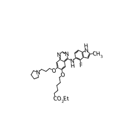 CCOC(=O)CCCCCOc1cc2c(Nc3ccc4[nH]c(C)cc4c3F)ncnc2cc1OCCCN1CCCC1